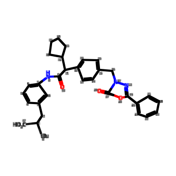 CC(C)(C)C(Cc1cccc(NC(=O)C(c2ccc(Cn3nc(-c4ccccc4)oc3=O)cc2)C2CCCC2)c1)C(=O)O